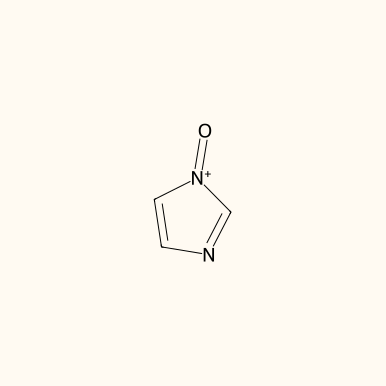 O=[N+]1C=CN=C1